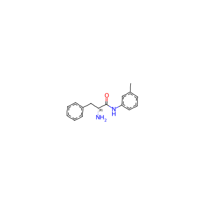 Cc1cccc(NC(=O)[C@H](N)Cc2ccccc2)c1